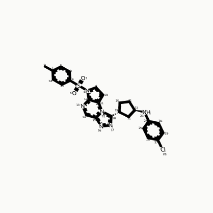 Cc1ccc(S(=O)(=O)n2ccc3c2ncc2nnc([C@@H]4CC[C@@H](Nc5ccc(Cl)cc5)C4)n23)cc1